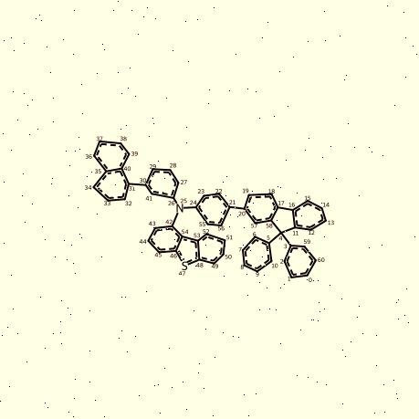 c1ccc(C2(c3ccccc3)c3ccccc3-c3ccc(-c4ccc(N(c5cccc(-c6cccc7ccccc67)c5)c5cccc6sc7ccccc7c56)cc4)cc32)cc1